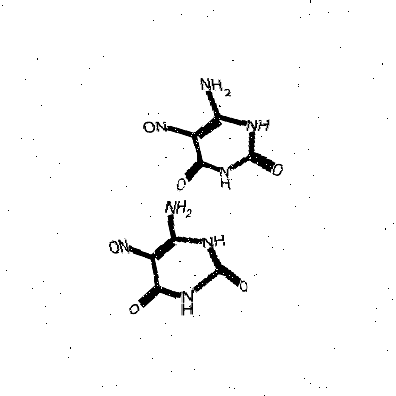 Nc1[nH]c(=O)[nH]c(=O)c1N=O.Nc1[nH]c(=O)[nH]c(=O)c1N=O